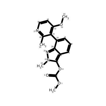 COC(=O)Oc1c2cccc(-c3c(OC)ccnc3C)c2nn1C